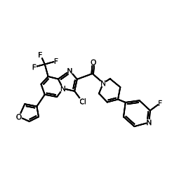 O=C(c1nc2c(C(F)(F)F)cc(-c3ccoc3)cn2c1Cl)N1CC=C(c2ccnc(F)c2)CC1